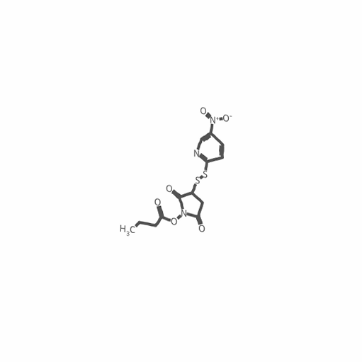 CCCC(=O)ON1C(=O)CC(SSc2ccc([N+](=O)[O-])cn2)C1=O